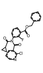 O=C(OCc1ccccc1)c1cccc(N(C(=O)c2cccnc2Cl)C(=O)C2CC2)c1F